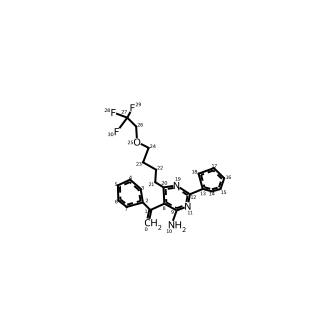 C=C(c1ccccc1)c1c(N)nc(-c2ccccc2)nc1CCCCOCC(F)(F)F